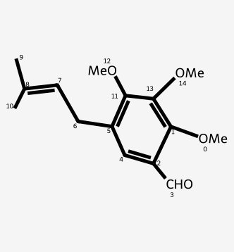 COc1c(C=O)cc(CC=C(C)C)c(OC)c1OC